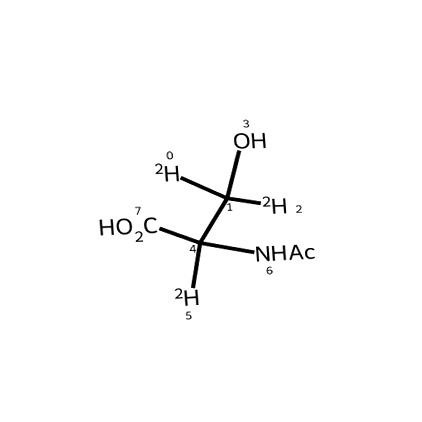 [2H]C([2H])(O)C([2H])(NC(C)=O)C(=O)O